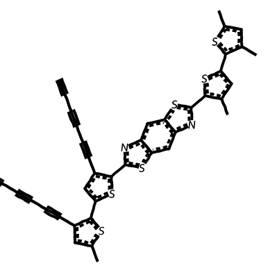 C#CC#CC#Cc1cc(C)sc1-c1cc(C#CC#CC#C)c(-c2nc3cc4sc(-c5sc(-c6sc(C)cc6C)cc5C)nc4cc3s2)s1